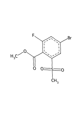 COC(=O)c1c(F)cc(Br)cc1S(C)(=O)=O